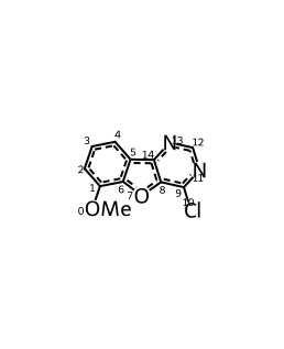 COc1cccc2c1oc1c(Cl)ncnc12